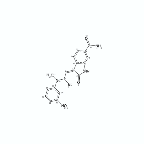 CCC(C=C1C(=O)Nc2cc(C(N)=O)ccc21)N(C)c1cccc([N+](=O)[O-])c1